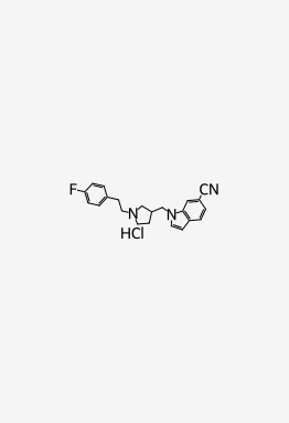 Cl.N#Cc1ccc2ccn(CC3CCN(CCc4ccc(F)cc4)C3)c2c1